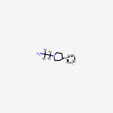 [2H]C([2H])(N)C([2H])([2H])N1CCC([13c]2[13cH][13cH][13cH][13cH][13cH]2)CC1